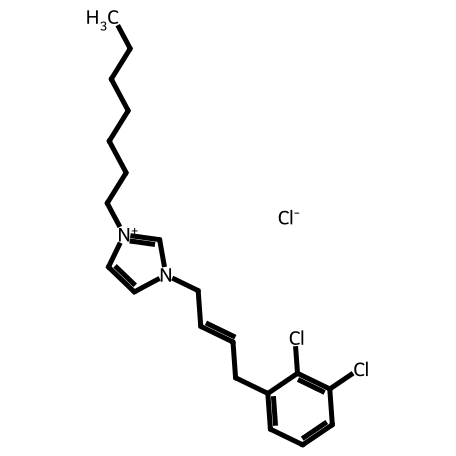 CCCCCCC[n+]1ccn(CC=CCc2cccc(Cl)c2Cl)c1.[Cl-]